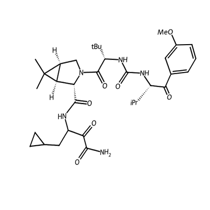 COc1cccc(C(=O)[C@@H](NC(=O)N[C@H](C(=O)N2C[C@H]3[C@@H]([C@H]2C(=O)NC(CC2CC2)C(=O)C(N)=O)C3(C)C)C(C)(C)C)C(C)C)c1